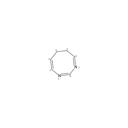 [C]1=NC=CCCC=N1